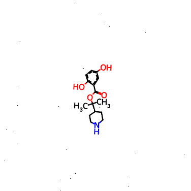 CC(C)(OC(=O)c1cc(O)ccc1O)C1CCNCC1